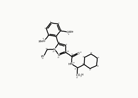 COc1cccc(OC)c1-c1cc(C(=O)NC(C(=O)O)C2CCCCC2)nn1CC(C)C